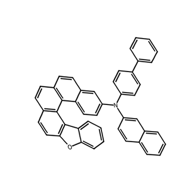 c1ccc(-c2ccc(N(c3ccc4ccccc4c3)c3ccc4c(ccc5ccc6ccc7oc8ccccc8c7c6c54)c3)cc2)cc1